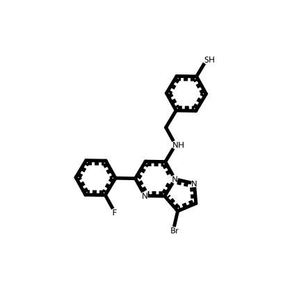 Fc1ccccc1-c1cc(NCc2ccc(S)cc2)n2ncc(Br)c2n1